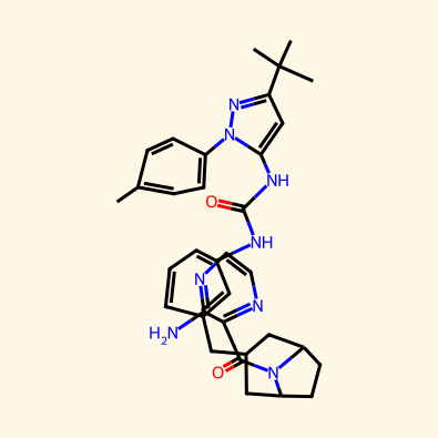 Cc1ccc(-n2nc(C(C)(C)C)cc2NC(=O)Nc2cccc(CC3CC4CCC(C3)N4C(=O)c3nccnc3N)c2)cc1